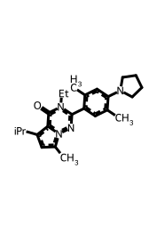 CCn1c(-c2cc(C)c(N3CCCC3)cc2C)nn2c(C)cc(C(C)C)c2c1=O